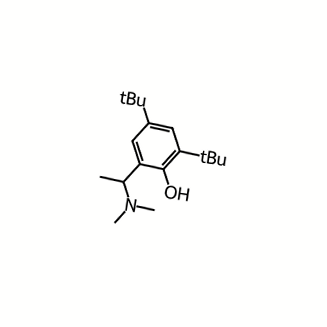 CC(c1cc(C(C)(C)C)cc(C(C)(C)C)c1O)N(C)C